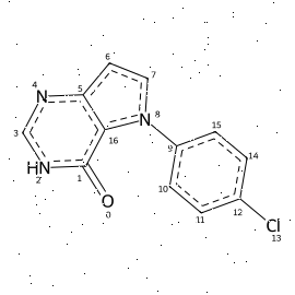 O=c1[nH]cnc2ccn(-c3ccc(Cl)cc3)c12